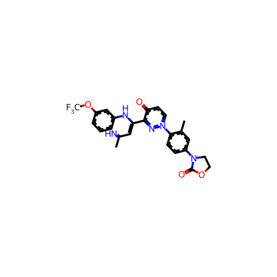 CC(=N)/C=C(\Nc1cccc(OC(F)(F)F)c1)c1nn(-c2ccc(N3CCOC3=O)cc2C)ccc1=O